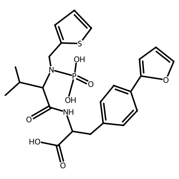 CC(C)C(C(=O)NC(Cc1ccc(-c2ccco2)cc1)C(=O)O)N(Cc1cccs1)P(=O)(O)O